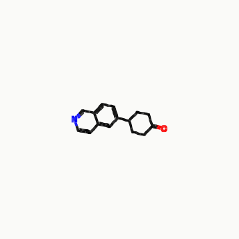 O=C1CCC(c2ccc3cnccc3c2)CC1